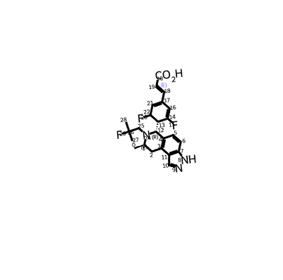 C[C@@H]1Cc2c(ccc3[nH]ncc23)[C@@H](C2C(F)=CC(/C=C/C(=O)O)=CC2F)N1CC(C)(C)F